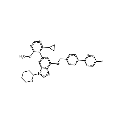 COc1ncnc(C2CC2)c1-c1nc(NCc2ccc(-c3ccc(F)cn3)cc2)c2ncn(C3CCCCO3)c2n1